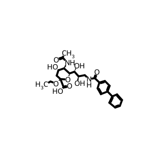 CCO[C@]1(C(=O)O)C[C@H](O)[C@@H](NC(C)=O)[C@H]([C@H](O)[C@H](O)CNC(=O)c2ccc(-c3ccccc3)cc2)O1